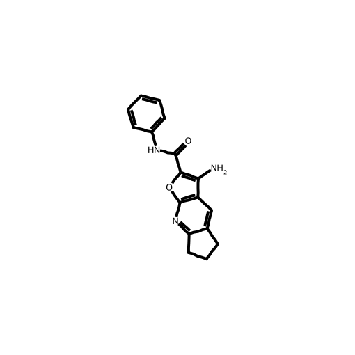 Nc1c(C(=O)Nc2ccccc2)oc2nc3c(cc12)CCC3